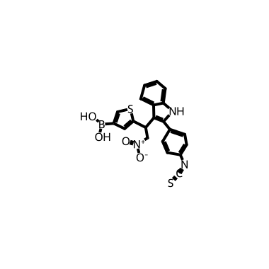 O=[N+]([O-])CC(c1cc(B(O)O)cs1)c1c(-c2ccc(N=C=S)cc2)[nH]c2ccccc12